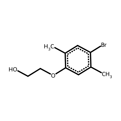 Cc1cc(OCCO)c(C)cc1Br